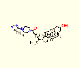 Cc1cncnc1N1CCN(C(=O)CC[C@@H](C)[C@H]2CC[C@H]3[C@@H]4CC=C5C[C@@H](O)CC[C@]5(C)[C@H]4CC[C@]23C)CC1